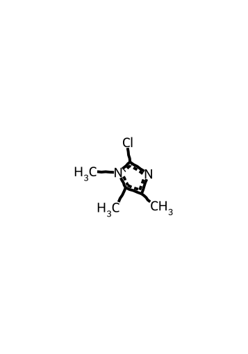 Cc1nc(Cl)n(C)c1C